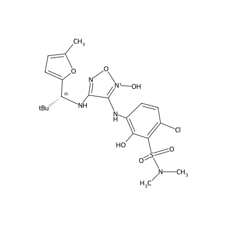 Cc1ccc([C@H](Nc2no[n+](O)c2Nc2ccc(Cl)c(S(=O)(=O)N(C)C)c2O)C(C)(C)C)o1